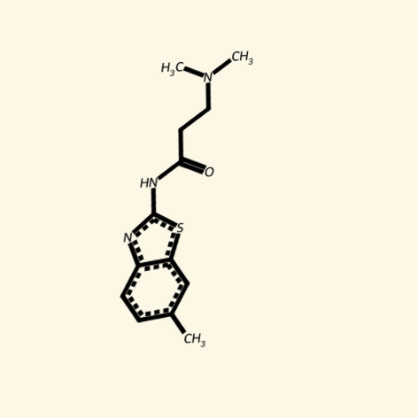 Cc1ccc2nc(NC(=O)CCN(C)C)sc2c1